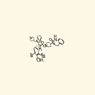 CN1CCC(Cn2c([C@@H](Cc3cc(Br)c(O)c(Br)c3)NC(=O)ON3CCC(N4CCc5ccccc5NC4=O)CC3)nc3ccccc32)CC1